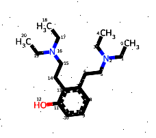 CCN(CC)CCc1cccc(O)c1CCN(CC)CC